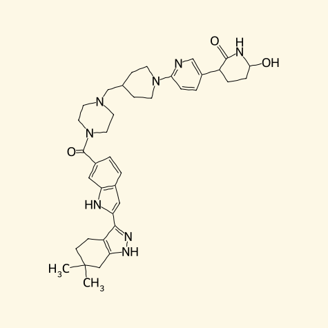 CC1(C)CCc2c(-c3cc4ccc(C(=O)N5CCN(CC6CCN(c7ccc(C8CCC(O)NC8=O)cn7)CC6)CC5)cc4[nH]3)n[nH]c2C1